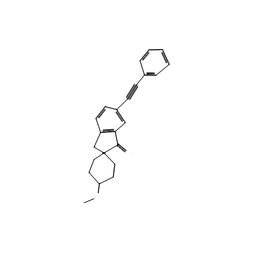 COC1CCC2(CC1)Cc1ccc(C#Cc3ccccc3)cc1C2=O